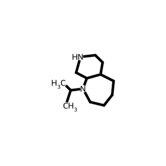 CC(C)N1CCCCC2CCNCC21